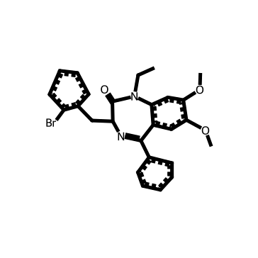 CCN1C(=O)C(Cc2ccccc2Br)N=C(c2ccccc2)c2cc(OC)c(OC)cc21